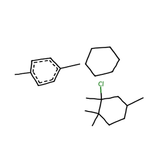 C1CCCCC1.CC1CCC(C)(C)C(C)(Cl)C1.Cc1ccc(C)cc1